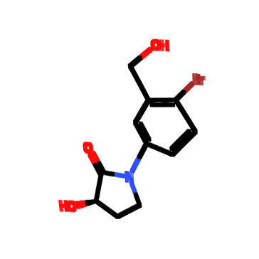 O=C1[C@H](O)CCN1c1ccc(Br)c(CO)c1